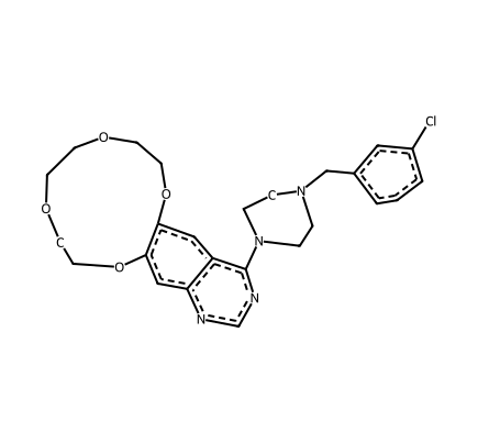 Clc1cccc(CN2CCN(c3ncnc4cc5c(cc34)OCCOCCOCCO5)CC2)c1